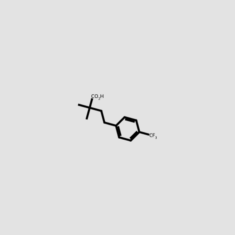 CC(C)(CCc1ccc(C(F)(F)F)cc1)C(=O)O